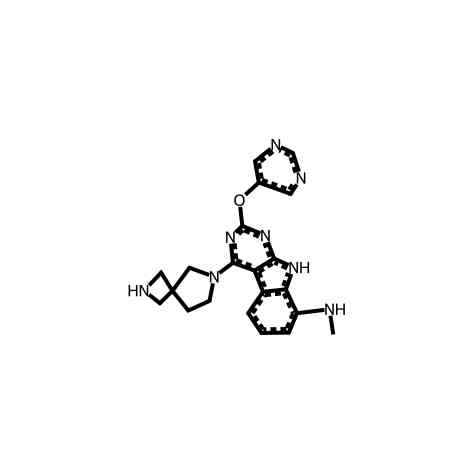 CNc1cccc2c1[nH]c1nc(Oc3cncnc3)nc(N3CCC4(CNC4)C3)c12